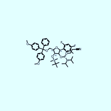 COc1ccc(C(OC[C@H]2O[C@@H](c3cc(C)c(F)cc3F)C(OP(OCCC#N)N(C(C)C)C(C)C)[C@H]2O[Si](C)(C)C(C)(C)C)(c2ccccc2)c2ccc(OC)cc2)cc1